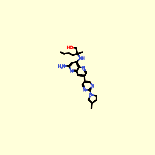 CCCCC(C)(CO)Nc1cc(N)nc2cc(-c3cnc(N4CCC(C)C4)nc3)cnc12